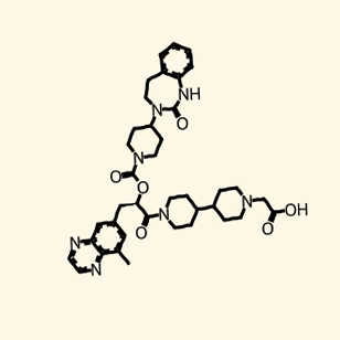 Cc1cc(C[C@@H](OC(=O)N2CCC(N3CCc4ccccc4NC3=O)CC2)C(=O)N2CCC(C3CCN(CC(=O)O)CC3)CC2)cc2nccnc12